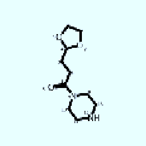 O=C(CCC1OCCO1)N1CCNCC1